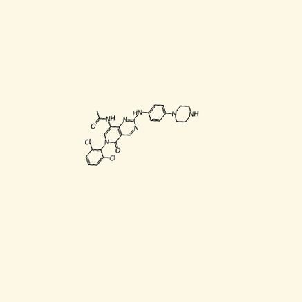 CC(=O)Nc1cn(-c2c(Cl)cccc2Cl)c(=O)c2cnc(Nc3ccc(N4CCNCC4)cc3)nc12